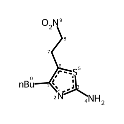 CCCCc1nc(N)sc1CC[N+](=O)[O-]